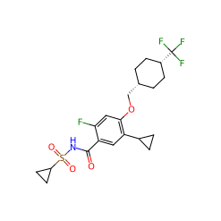 O=C(NS(=O)(=O)C1CC1)c1cc(C2CC2)c(OC[C@H]2CC[C@@H](C(F)(F)F)CC2)cc1F